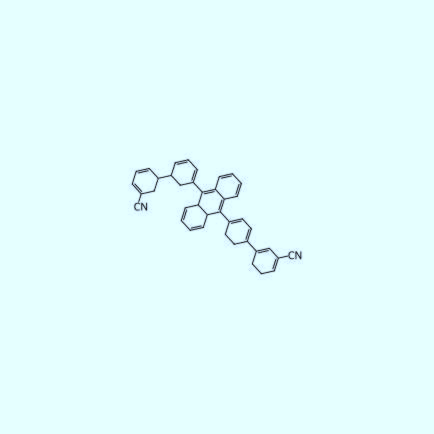 N#CC1=CCCC(C2=CC=C(C3=c4ccccc4=C(C4=CC=CC(C5C=CC=C(C#N)C5)C4)C4C=CC=CC34)CC2)=C1